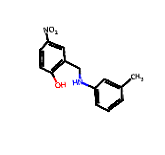 Cc1cccc(NCc2cc([N+](=O)[O-])ccc2O)c1